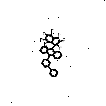 Fc1c(F)c(F)c2c(-c3c4ccccc4c(-c4cccc(-c5ccccc5)c4)c4ccccc34)c(F)c(F)c(F)c2c1F